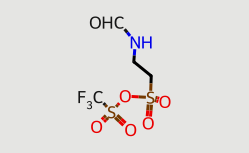 O=CNCCS(=O)(=O)OS(=O)(=O)C(F)(F)F